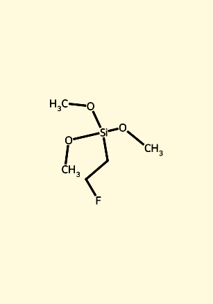 CO[Si](CCF)(OC)OC